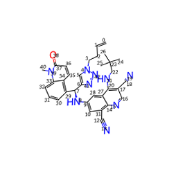 C=CCCn1cc([C@@H](Nc2cc(C#N)c3ncc(C#N)c(NCC(C)(C)C)c3c2)c2cccc3c2ccc(=O)n3C)nn1